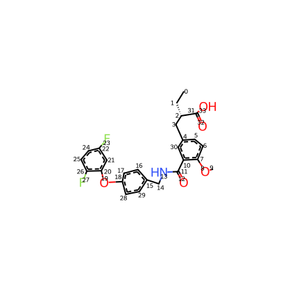 CC[C@@H](Cc1ccc(OC)c(C(=O)NCc2ccc(Oc3cc(F)ccc3F)cc2)c1)C(=O)O